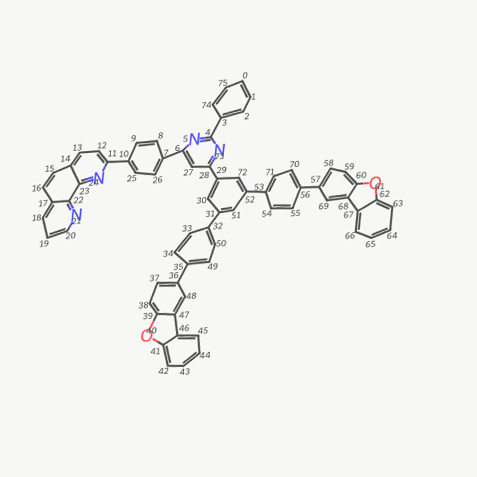 c1ccc(-c2nc(-c3ccc(-c4ccc5ccc6cccnc6c5n4)cc3)cc(-c3cc(-c4ccc(-c5ccc6oc7ccccc7c6c5)cc4)cc(-c4ccc(-c5ccc6oc7ccccc7c6c5)cc4)c3)n2)cc1